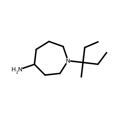 CCC(C)(CC)N1CCCC(N)CC1